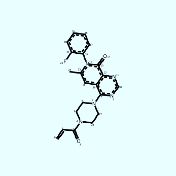 C=CC(=O)N1CCN(c2ncnc3c(=O)n(-c4ccccc4F)c(C)cc23)CC1